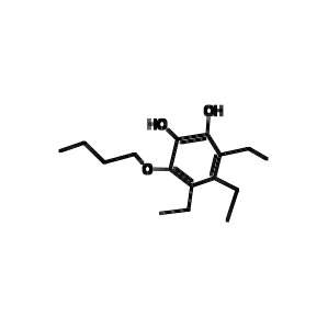 CCCCOc1c(O)c(O)c(CC)c(CC)c1CC